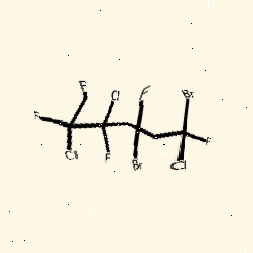 FC(F)(Cl)C(F)(Cl)C(F)(Br)C(F)(Cl)Br